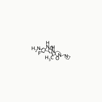 Cc1c(C=C2C(=O)Nc3cc(N)c(F)cc32)[nH]c2c1C(=O)N(CCN1CCCC1)CC2